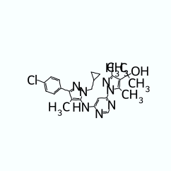 Cc1nn(-c2cc(Nc3c(C)c(-c4ccc(Cl)cc4)nn3CC3CC3)ncn2)c(C)c1C(C)(C)O